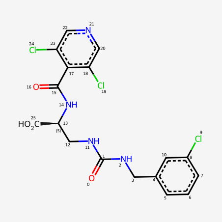 O=C(NCc1cccc(Cl)c1)NC[C@H](NC(=O)c1c(Cl)cncc1Cl)C(=O)O